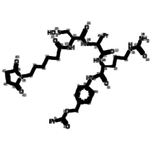 CC(C)C(=O)OCc1ccc(NC(=O)[C@H](CCCNC(N)=O)NC(=O)C(NC(=O)[C@H](CS(=O)(=O)O)NC(=O)CCCCCN2C(=O)C=CC2=O)C(C)C)cc1